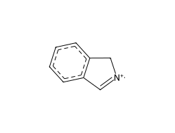 C1=[N+]Cc2ccccc21